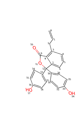 C=CCc1cccc2c1C(=O)OC2(c1ccc(O)cc1)c1ccc(O)cc1